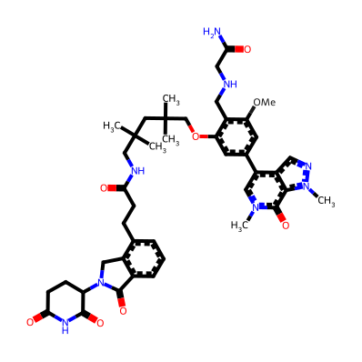 COc1cc(-c2cn(C)c(=O)c3c2cnn3C)cc(OCC(C)(C)CC(C)(C)CNC(=O)CCc2cccc3c2CN(C2CCC(=O)NC2=O)C3=O)c1CNCC(N)=O